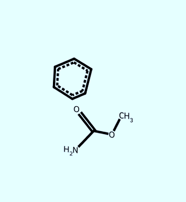 COC(N)=O.c1ccccc1